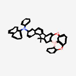 CC1(C)c2cc3c(cc2-c2ccc4cc(N(c5ccccc5)c5cccc6ccccc56)ccc4c21)Oc1cccc2c1B3c1ccccc1O2